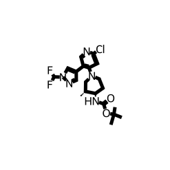 C[C@@H]1CN(c2cc(Cl)ncc2-c2cnn(C(F)F)c2)CC[C@@H]1NC(=O)OC(C)(C)C